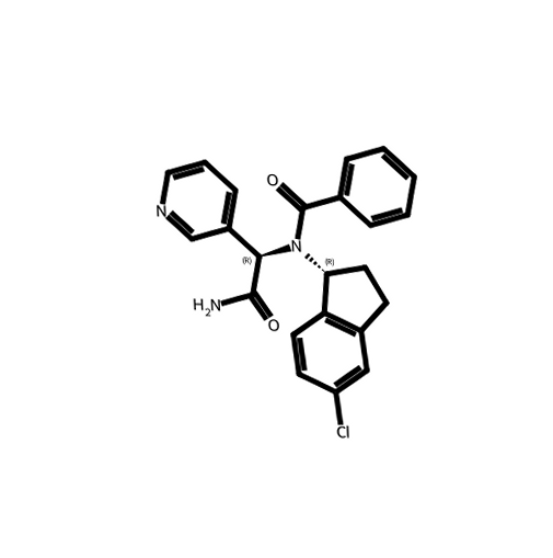 NC(=O)[C@@H](c1cccnc1)N(C(=O)c1ccccc1)[C@@H]1CCc2cc(Cl)ccc21